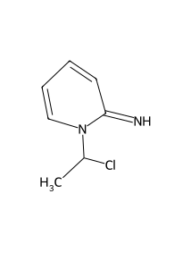 CC(Cl)n1ccccc1=N